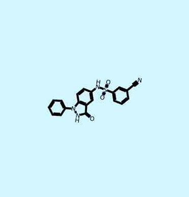 N#Cc1cccc(S(=O)(=O)Nc2ccc3c(c2)c(=O)[nH]n3-c2ccccc2)c1